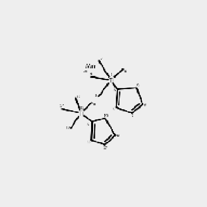 [CH3][Ti]([CH3])([CH3])([CH3])[C]1=CC=CC1.[CH3][Ti]([CH3])([CH3])([CH3])[C]1=CC=CC1.[Mn]